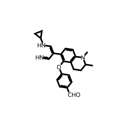 CC1CCc2c(ccc(/C(C=N)=C/NC3CC3)c2Oc2ccc(C=O)cc2)N1C